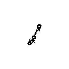 O=C(Oc1ccccc1)c1ccc(C#CCOc2ccccc2)cc1